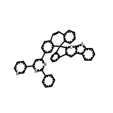 C1=Cc2ccc(-c3cc(-c4cccnc4)nc(-c4ccccc4)n3)cc2C2(c3ccccc31)c1ccccc1-c1cc3c(cc12)sc1ccccc13